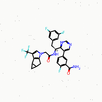 NC(=O)c1cc(-c2cncnc2[C@H](Cc2cc(F)cc(F)c2)NC(=O)Cn2cc(C(F)(F)F)c3c2CC2CC32)ccc1F